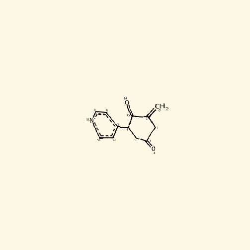 C=C1CC(=O)CC(c2ccncc2)C1=O